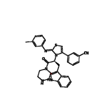 Cc1cccc(/N=c2\scc(-c3cccc(C#N)c3)n2[C@@H](Cc2c[nH]c3ccccc23)C(=O)N2CCNCC2)c1